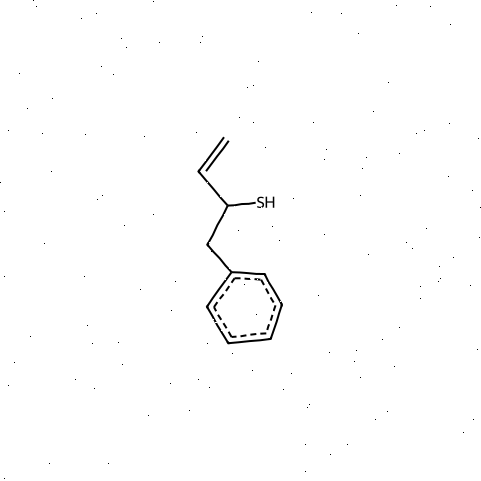 C=CC(S)Cc1ccccc1